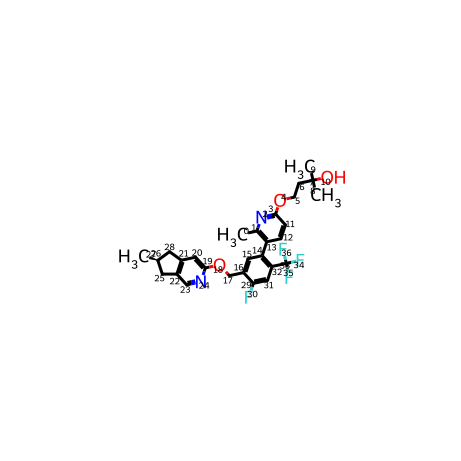 Cc1nc(OCCC(C)(C)O)ccc1-c1cc(COc2cc3c(cn2)C[C@@H](C)C3)c(F)cc1C(F)(F)F